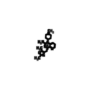 Cc1nc(CNc2ncccc2N(C(N)=S)C2CCN(C)CC2)c(C)o1